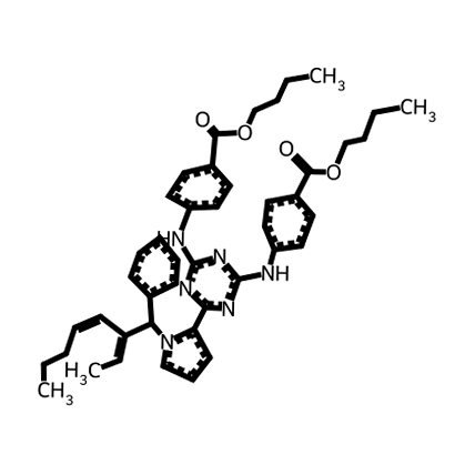 C/C=C(\C=C/CCC)C(c1ccccc1)n1cccc1-c1nc(Nc2ccc(C(=O)OCCCC)cc2)nc(Nc2ccc(C(=O)OCCCC)cc2)n1